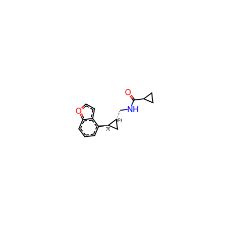 O=C(NC[C@@H]1C[C@H]1c1cccc2occc12)C1CC1